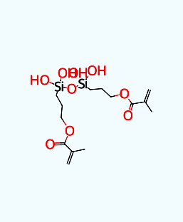 C=C(C)C(=O)OCCC[Si](O)(O)O[Si](O)(O)CCCOC(=O)C(=C)C